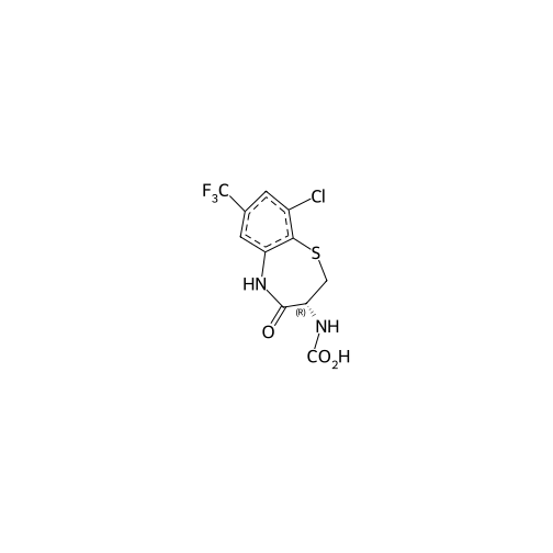 O=C(O)N[C@H]1CSc2c(Cl)cc(C(F)(F)F)cc2NC1=O